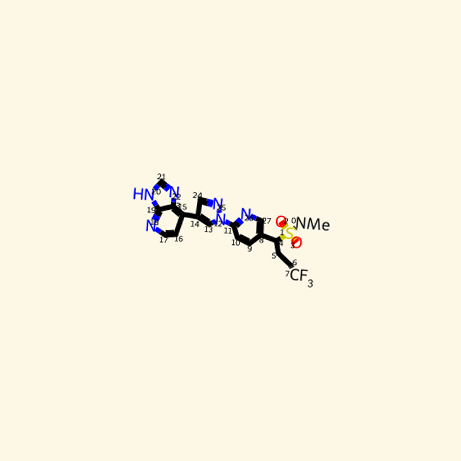 CNS(=O)(=O)C(CCC(F)(F)F)c1ccc(-n2cc(-c3ccnc4[nH]cnc34)cn2)nc1